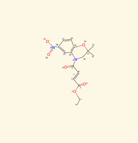 CCOC(=O)/C=C/C(=O)N1CC(C)(C)Oc2ccc([N+](=O)[O-])cc21